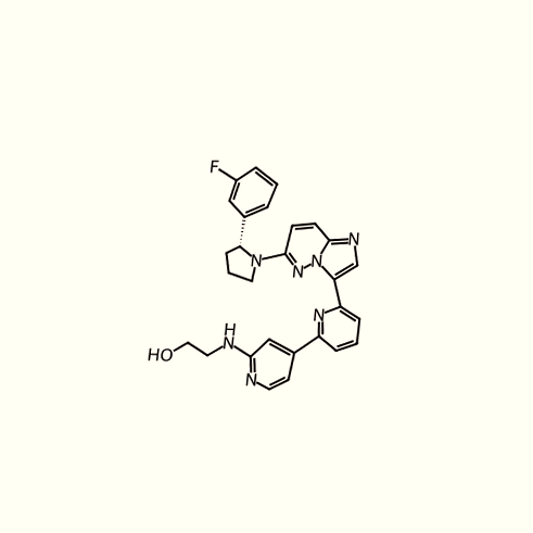 OCCNc1cc(-c2cccc(-c3cnc4ccc(N5CCC[C@@H]5c5cccc(F)c5)nn34)n2)ccn1